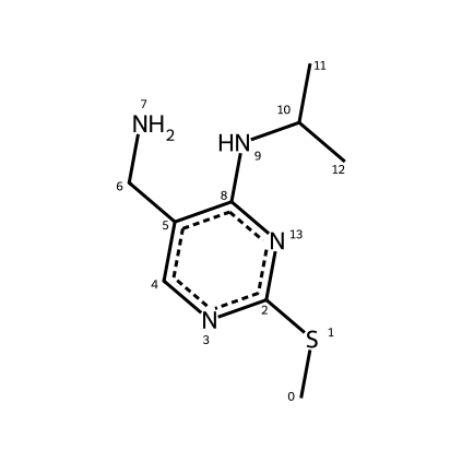 CSc1ncc(CN)c(NC(C)C)n1